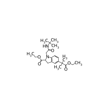 CCOC(=O)C1Cc2cc(C(C)(C)C(=O)OCC)ccc2N1CC(=O)NC(C)(C)C